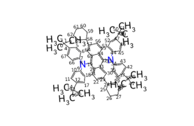 CC(C)(C)c1ccc(N(c2ccc(C(C)(C)C)cc2)c2c3ccc(C4CCCCC4)cc3c(N(c3ccc(C(C)(C)C)cc3)c3ccc(C(C)(C)C)cc3)c3ccc(C4CCCCC4)cc23)cc1